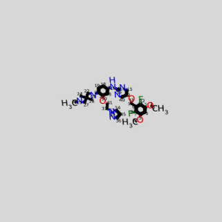 COc1cc(OC)c(F)c(COc2cnc(Nc3ccc(N4CC5(CN(C)C5)C4)c(OCCn4cccn4)c3)nc2)c1F